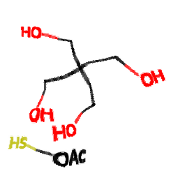 CC(=O)OS.OCC(CO)(CO)CO